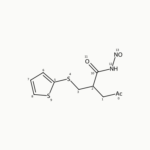 CC(=O)CC(CSc1cccs1)C(=O)NN=O